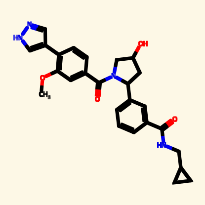 COc1cc(C(=O)N2CC(O)CC2c2cccc(C(=O)NCC3CC3)c2)ccc1-c1cn[nH]c1